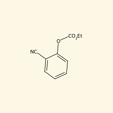 CCOC(=O)Oc1ccccc1C#N